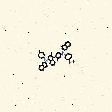 CCC1=CC=CC(N(c2ccc(-c3c(C)cc(N(C4=CC=CC(C)=C=C4)c4ccc5ccccc5c4)c4ccccc34)c(C)c2)c2ccc3ccccc3c2)=CC1